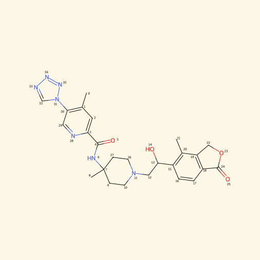 Cc1cc(C(=O)NC2(C)CCN(CC(O)c3ccc4c(c3C)COC4=O)CC2)ncc1-n1cnnn1